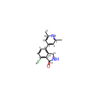 Cc1cc(-c2ccc(F)c3c2CNC3=O)cc(C)n1